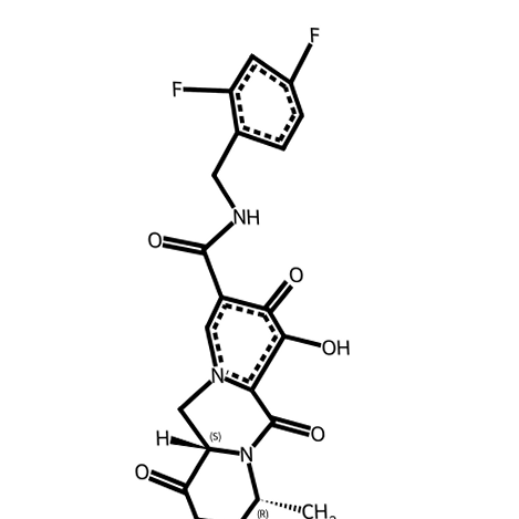 C[C@@H]1CCC(=O)[C@@H]2Cn3cc(C(=O)NCc4ccc(F)cc4F)c(=O)c(O)c3C(=O)N12